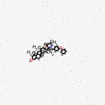 CC1=C2C[C@@H]3C4C(=CC(=O)C[C@H]4C)CC[C@H]3[C@@H]2CC[C@@]2(C1)O[C@@H]1C[C@H](C)CN(Cc3ccc(Oc4ccccc4)cc3)[C@H]1[C@H]2C